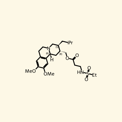 CCS(=O)(=O)NCCC(=O)OC[C@@H]1C[C@@H]2c3cc(OC)c(OC)cc3CCN2C[C@H]1CC(C)C